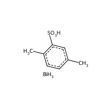 Cc1ccc(C)c(S(=O)(=O)O)c1.[BiH3]